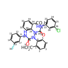 O=C(O)c1ccccc1N(C(=O)Nc1cccc(F)c1)N(C(=O)Nc1cccc(Cl)c1)c1ccccc1C(=O)O